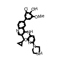 COc1cc(-c2ccc3ncc(C(=O)C4CC4)c(Nc4ccc(N5CCNCC5)nc4)c3c2)cc(Cl)c1O